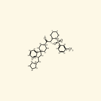 O=C(CC1CCCCN1S(=O)(=O)c1cccc(C(F)(F)F)c1)N1CCC(CCCN2CCCC2)(c2cccnc2)CC1